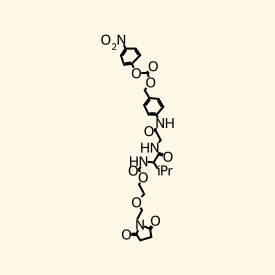 CC(C)C(NC(=O)OCCOCCN1C(=O)CCC1=O)C(=O)NCC(=O)Nc1ccc(COC(=O)Oc2ccc([N+](=O)[O-])cc2)cc1